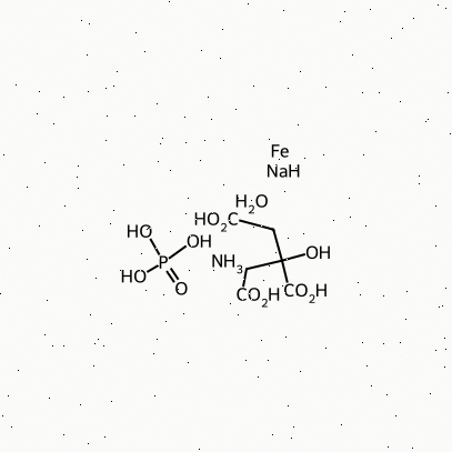 N.O.O=C(O)CC(O)(CC(=O)O)C(=O)O.O=P(O)(O)O.[Fe].[NaH]